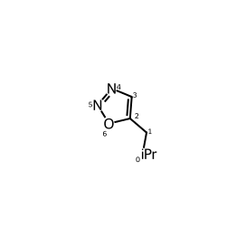 CC(C)Cc1cnno1